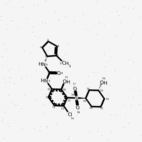 CC1=CCC[C@H]1NC(=O)Nc1ccc(Cl)c(S(=O)(=O)[C@@H]2CCC[C@@H](O)C2)c1O